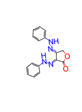 O=C1OCC(=NNc2ccccc2)C1=NNc1ccccc1